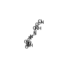 CC1(C)[C@H](NC(=O)c2ccc(N3CCC(CCN4CCN(c5ccc6c(c5)C(=O)N(C5CCC(=O)NC5=O)C6=O)CC4)C3)cc2)C(C)(C)[C@H]1Oc1ccc(C#N)c(Cl)c1